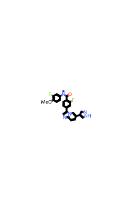 COc1ccc(N(C)C(=O)c2ccc(-c3cnc4ccc(-c5cn[nH]c5)cn34)cc2F)cc1F